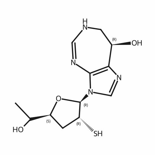 CC(O)[C@@H]1C[C@@H](S)[C@H](n2cnc3c2N=CNC[C@H]3O)O1